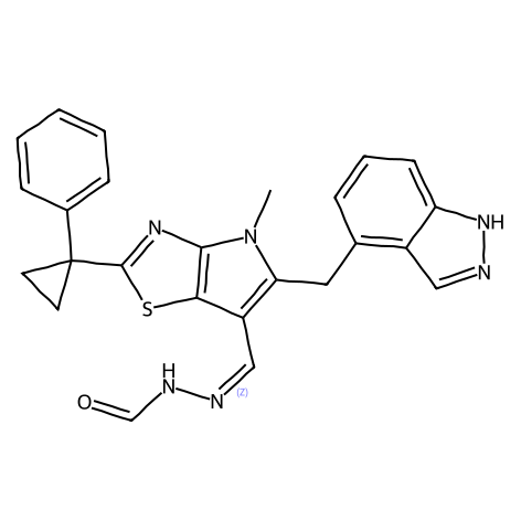 Cn1c(Cc2cccc3[nH]ncc23)c(/C=N\NC=O)c2sc(C3(c4ccccc4)CC3)nc21